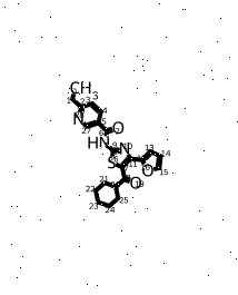 CCc1ccc(C(=O)Nc2nc(-c3ccco3)c(C(=O)C3CCCCC3)s2)cn1